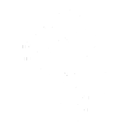 CC1(C)c2ccccc2-c2ccc(N(c3cc(-c4ccccc4)cc(-c4ccccc4)c3)c3ccc4c(c3)-c3c(ccc5c3sc3ccccc35)C4(C)C)cc21